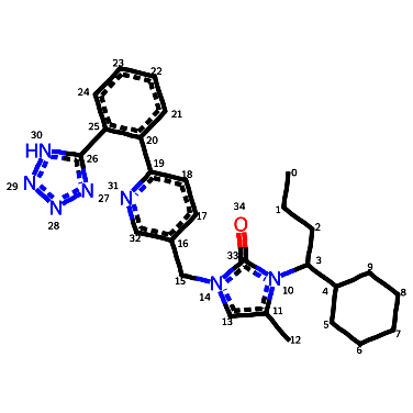 CCCC(C1CCCCC1)n1c(C)cn(Cc2ccc(-c3ccccc3-c3nnn[nH]3)nc2)c1=O